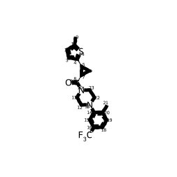 Cc1ccc([C@@H]2C[C@@H]2C(=O)N2CCN(c3cc(C(F)(F)F)ccc3C)CC2)s1